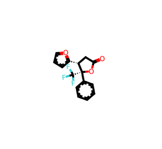 O=C1C[C@@H](c2ccco2)[C@@](c2ccccc2)(C(F)(F)F)O1